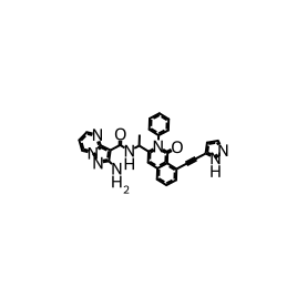 CC(NC(=O)c1c(N)nn2cccnc12)c1cc2cccc(C#Cc3ccn[nH]3)c2c(=O)n1-c1ccccc1